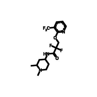 CC1CC(NC(=O)C(F)(F)COc2ncccc2C(F)(F)F)CCN1C